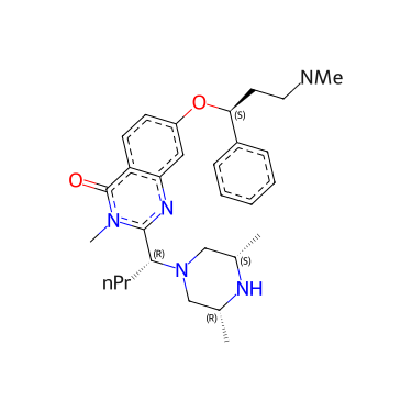 CCC[C@H](c1nc2cc(O[C@@H](CCNC)c3ccccc3)ccc2c(=O)n1C)N1C[C@@H](C)N[C@@H](C)C1